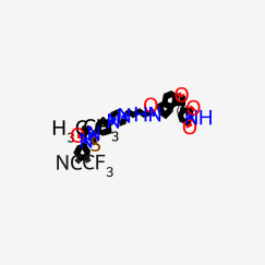 CC1(C)C(=O)N(c2ccc(C#N)c(C(F)(F)F)c2)C(=S)N1c1ccc(N2CCN(CCCCC(=O)Nc3ccc4c(ccc5occ([C@@H]6CCC(=O)NC6=O)c54)c3)CC2)cc1